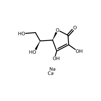 O=C1O[C@H]([C@@H](O)CO)C(O)=C1O.[Ca].[Na]